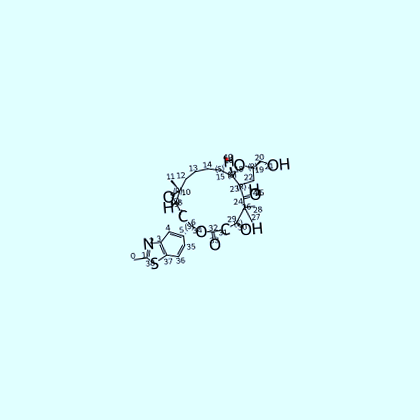 Cc1nc2cc([C@@H]3C[C@@H]4O[C@]4(C)CCC[C@H](C)[C@@H]4O[C@@H](CO)C[C@H]4C(=O)C(C)(C)[C@@H](O)CC(=O)O3)ccc2s1